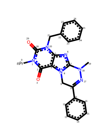 CCCn1c(=O)c2c(nc3n2CC(c2ccccc2)=NN3C)n(Cc2ccccc2)c1=O